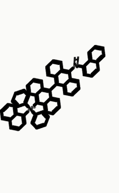 c1ccc([N+](c2ccccc2)(c2cccc3ccccc23)c2c3ccccc3c(-c3c4ccccc4c(Nc4cccc5ccccc45)c4ccccc34)c3ccccc23)cc1